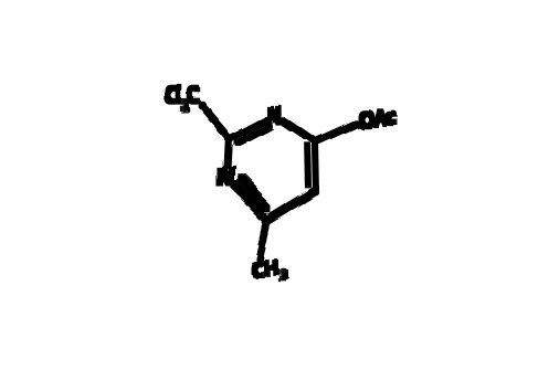 CC(=O)Oc1cc(C)nc(C(Cl)(Cl)Cl)n1